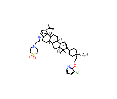 C=C(C)[C@@H]1CC[C@]2(NCCN3CCS(=O)(=O)CC3)CC[C@]3(C)[C@H](CC[C@@H]4[C@@]5(C)CC=C(C6=CCC(CCOc7ncccc7Cl)(C(=O)O)CC6)C(C)(C)[C@@H]5CC[C@]43C)[C@@H]12